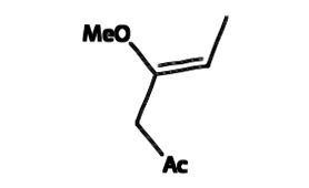 CC=C(CC(C)=O)OC